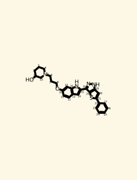 OC1CCCN(CCCOc2ccc3cc(-c4n[nH]c5cc(-c6ccccc6)sc45)[nH]c3c2)C1